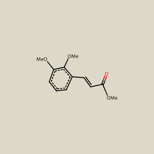 COC(=O)/C=C/c1c[c]cc(OC)c1OC